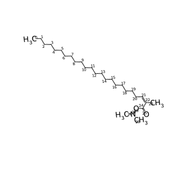 CCCCCCCCCCCCCCCCCCCCCC=C(C)C(=O)ON(C)C